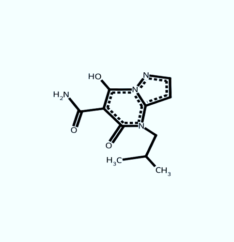 CC(C)Cn1c(=O)c(C(N)=O)c(O)n2nccc12